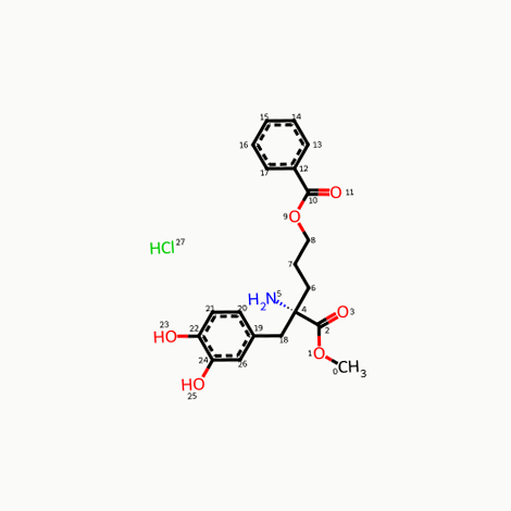 COC(=O)[C@](N)(CCCOC(=O)c1ccccc1)Cc1ccc(O)c(O)c1.Cl